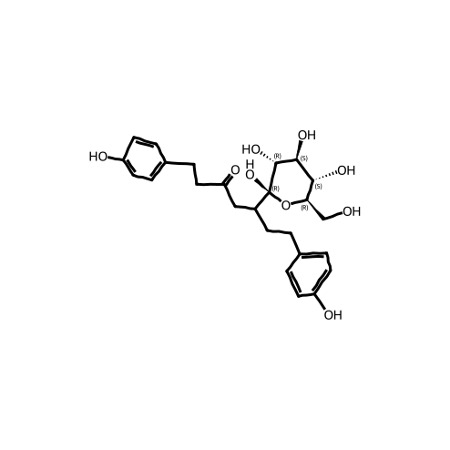 O=C(CCc1ccc(O)cc1)CC(CCc1ccc(O)cc1)[C@@]1(O)O[C@H](CO)[C@@H](O)[C@H](O)[C@H]1O